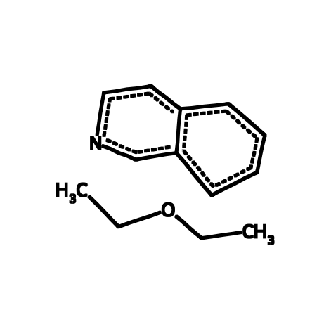 CCOCC.c1ccc2cnccc2c1